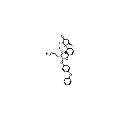 CCCC(C)C(Oc1ccc(Oc2ccccc2)cc1)Oc1cccc(C2(C)NC(=O)SC2=O)c1